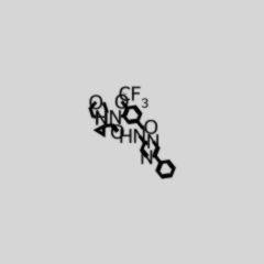 O=C(Nc1cnc(-c2ccccc2)cn1)c1ccc(OC(F)(F)F)c(NC(=O)C2(N3CCOCC3)CC2)c1